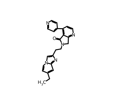 CCc1ccn2cc(CCN3Cc4nccc(-c5ccncc5)c4C3=O)nc2c1